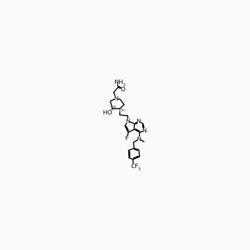 CN(Cc1ccc(C(F)(F)F)cc1)c1ncnc2c1c(F)cn2CC[C@@H]1CCN(CC(N)=O)C[C@H]1O